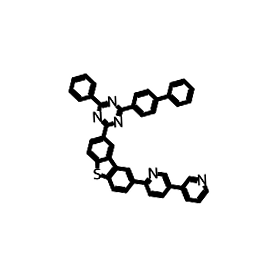 c1ccc(-c2ccc(-c3nc(-c4ccccc4)nc(-c4ccc5sc6ccc(-c7ccc(-c8cccnc8)cn7)cc6c5c4)n3)cc2)cc1